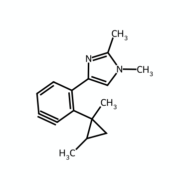 Cc1nc(-c2ccc#cc2C2(C)CC2C)cn1C